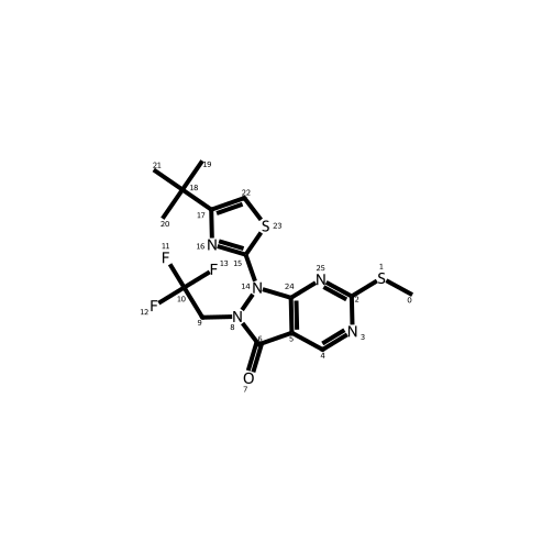 CSc1ncc2c(=O)n(CC(F)(F)F)n(-c3nc(C(C)(C)C)cs3)c2n1